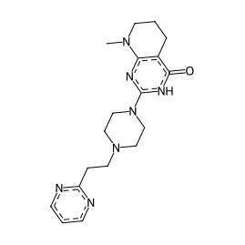 CN1CCCc2c1nc(N1CCN(CCc3ncccn3)CC1)[nH]c2=O